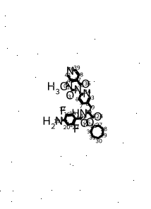 Cn1c(=O)n(-c2ccc(C[C@H](NC(=O)c3cc(F)c(N)cc3F)C(=O)OC3CCCCCC3)cn2)c(=O)c2ccncc21